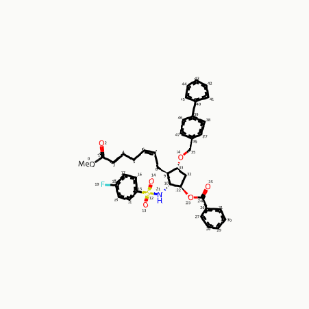 COC(=O)CCC/C=C\C[C@@H]1[C@@H](NS(=O)(=O)c2ccc(F)cc2)[C@H](OC(=O)c2ccccc2)C[C@H]1OCc1ccc(-c2ccccc2)cc1